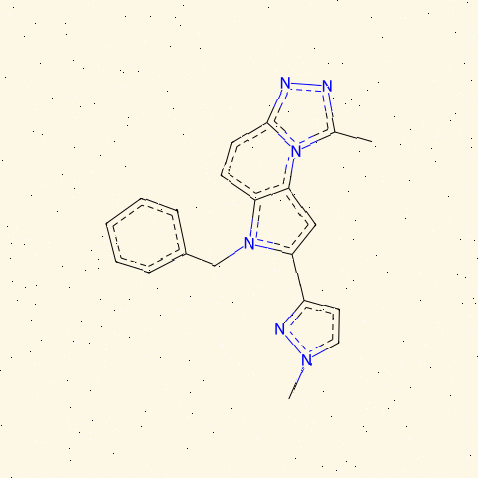 Cc1nnc2ccc3c(cc(-c4ccn(C)n4)n3Cc3ccccc3)n12